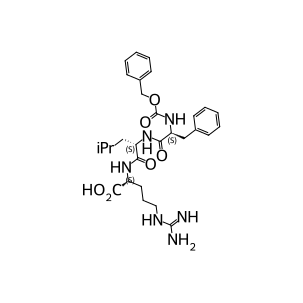 CC(C)C[C@H](NC(=O)[C@H](Cc1ccccc1)NC(=O)OCc1ccccc1)C(=O)N[C@@H](CCCNC(=N)N)C(=O)O